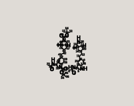 CC(=O)Nc1c[nH]c2ccc(CCC3C[C@H]4CNC[C@H]4C3)cc12.CC(=O)Nc1cn(C(=O)OC(C)(C)C)c2ccc(CCC3C[C@@H]4CN(C(=O)OC(C)(C)C)C[C@@H]4C3)cc12